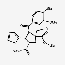 COC(=O)[C@H]1C[C@@](CC(C)C)(C(=O)OC(C)(C)C)N(C(=O)c2ccc(C(C)(C)C)c(OC)c2)[C@H]1c1cccs1